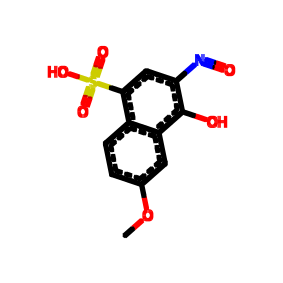 COc1ccc2c(S(=O)(=O)O)cc(N=O)c(O)c2c1